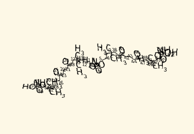 CC(C)(CCCOP(N)(=O)OCCCC(C)(C)CCC(=O)CCCC(=O)CCCC(C)(C)COP(N)(=O)O)CCC(=O)CCCC(=O)CCCC(C)(C)COP(N)(=O)O